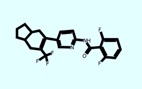 O=C(Nc1ccc(C2=C(C(F)(F)F)CC3CCCC3C2)cn1)c1c(F)cccc1F